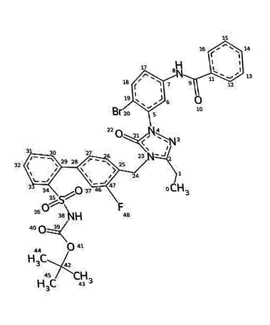 CCc1nn(-c2cc(NC(=O)c3ccccc3)ccc2Br)c(=O)n1Cc1ccc(-c2ccccc2S(=O)(=O)NC(=O)OC(C)(C)C)cc1F